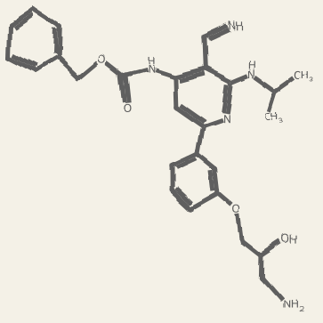 CC(C)Nc1nc(-c2cccc(OCC(O)CN)c2)cc(NC(=O)OCc2ccccc2)c1C=N